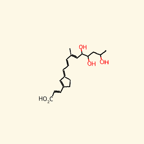 CC(C=CC=C1C=C(C=CC(=O)O)CC1)=CC(O)C(O)CC(C)O